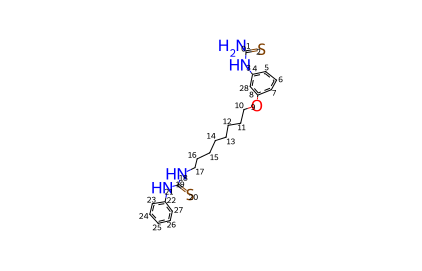 NC(=S)Nc1cccc(OCCCCCCCCNC(=S)Nc2ccccc2)c1